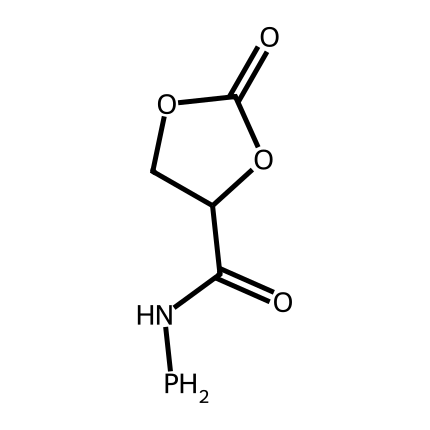 O=C1OCC(C(=O)NP)O1